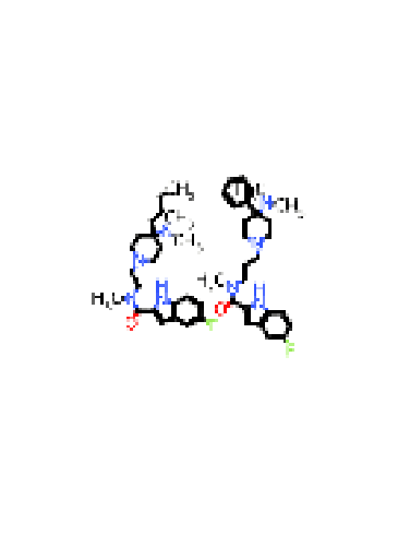 CCCCC1(N(C)C)CCN(CCN(C)C(=O)c2cc3cc(F)ccc3[nH]2)CC1.CN(CCCN1CCC(c2ccccc2)(N(C)C)CC1)C(=O)c1cc2cc(F)ccc2[nH]1